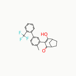 Cc1ccc(-c2ccccc2C(F)(F)F)cc1C1=C(O)C2CCC(C2)C1=O